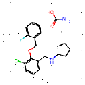 Fc1ccccc1COc1c(Cl)cccc1CNC1CCCC1.NC(=O)O